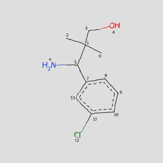 CC(C)(CO)C(N)c1cccc(Cl)c1